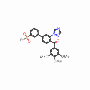 CCS(=O)(=O)c1cccc(-c2ccc(C(=O)c3cc(OC)c(OC)c(OC)c3)c(-n3cncn3)c2)c1